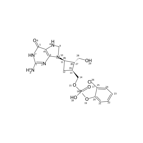 Nc1nc2c(c(=O)[nH]1)NCN2[C@@H]1C[C@H](COP(=O)(O)Oc2ccccc2Cl)[C@H]1CO